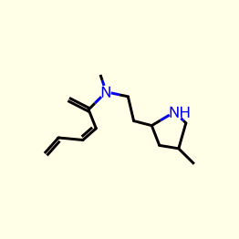 C=C/C=C\C(=C)N(C)CCC1CC(C)CN1